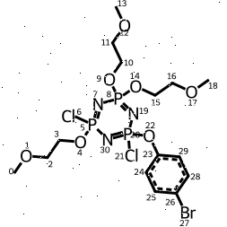 COCCOP1(Cl)=NP(OCCOC)(OCCOC)=NP(Cl)(Oc2ccc(Br)cc2)=N1